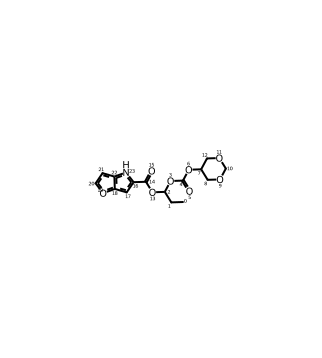 CCC(OC(=O)OC1COCOC1)OC(=O)c1cc2occc2[nH]1